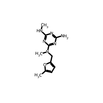 CNc1nc(N)nc(N(C)Cc2ccc(C)o2)n1